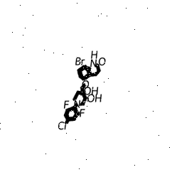 O=C1CCc2c(OC[C@]3(O)CCN(c4c(F)cc(Cl)cc4F)C[C@H]3O)ccc(Br)c2N1